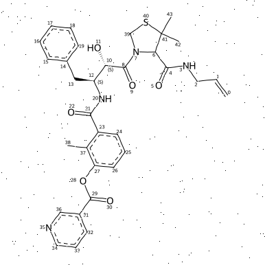 C=CCNC(=O)C1N(C(=O)[C@@H](O)[C@H](Cc2ccccc2)NC(=O)c2cccc(OC(=O)c3cccnc3)c2C)CSC1(C)C